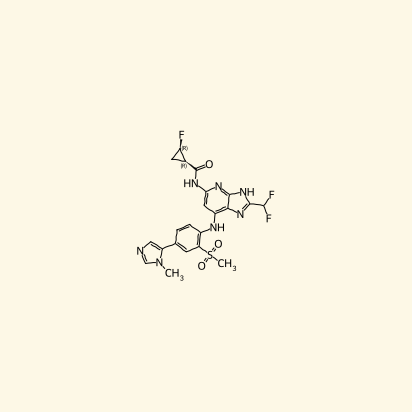 Cn1cncc1-c1ccc(Nc2cc(NC(=O)[C@H]3C[C@H]3F)nc3[nH]c(C(F)F)nc23)c(S(C)(=O)=O)c1